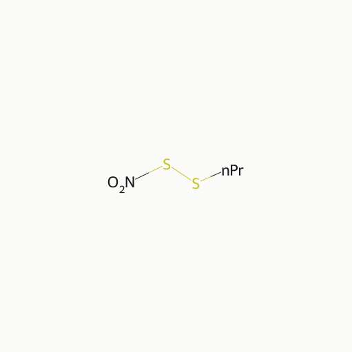 CCCSS[N+](=O)[O-]